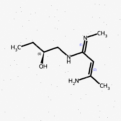 CC[C@H](O)CNC(/C=C(/C)N)=N/C